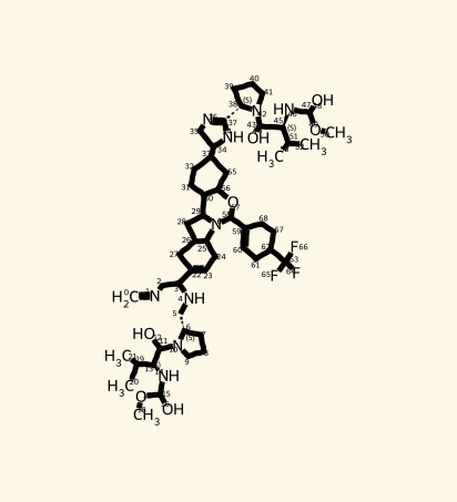 C=NCC(NC[C@@H]1CCCN1C(O)[C@@H](NC(O)OC)C(C)C)C1=CCC2C(C1)CC1C3CCC(C4CN=C([C@@H]5CCCN5C(O)[C@@H](NC(O)OC)C(C)C)N4)CC3OC(C3=CCC(C(F)(F)F)CC3)N21